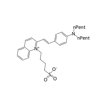 CCCCCN(CCCCC)c1ccc(C=Cc2ccc3ccccc3[n+]2CCCCS(=O)(=O)[O-])cc1